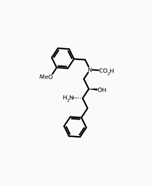 COc1cccc(CN(C[C@@H](O)[C@@H](N)Cc2ccccc2)C(=O)O)c1